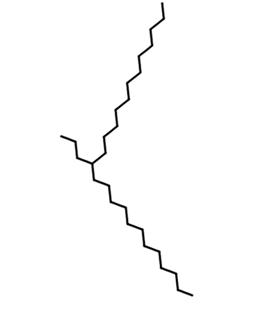 CCCCCCCCCCCCC(CCC)CCCCCCCCCCCC